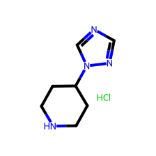 Cl.c1ncn(C2CCNCC2)n1